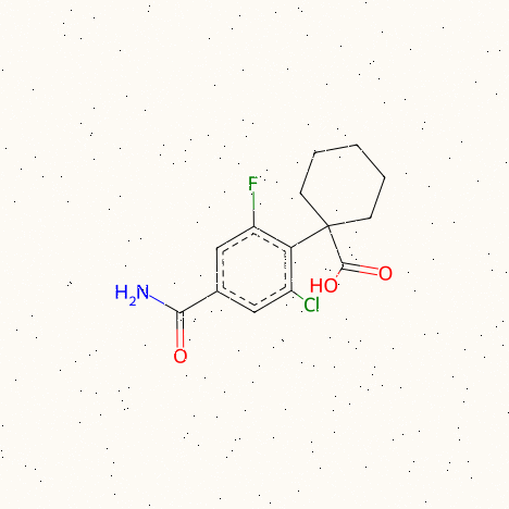 NC(=O)c1cc(F)c(C2(C(=O)O)CCCCC2)c(Cl)c1